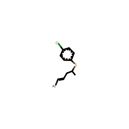 CC(=O)C=CCC(C)Sc1ccc(Cl)cc1